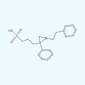 O=S(=O)(O)CCCC1(c2ccccc2)CN1CCc1ccccc1